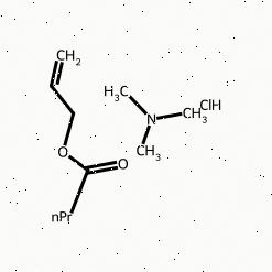 C=CCOC(=O)CCC.CN(C)C.Cl